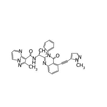 Cc1nn2cccnc2c1C(=O)N[C@@H](C)c1nc2cccc(C#Cc3ccnn3C)c2c(=O)n1-c1ccccc1